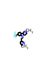 Cc1ccc(CCn2c3c(c4ccc(C(F)(F)F)cc42)CN(C)CC3)cn1